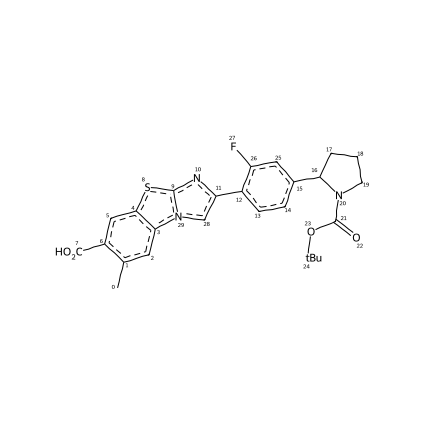 Cc1cc2c(cc1C(=O)O)sc1nc(-c3ccc(C4CCCN4C(=O)OC(C)(C)C)cc3F)cn12